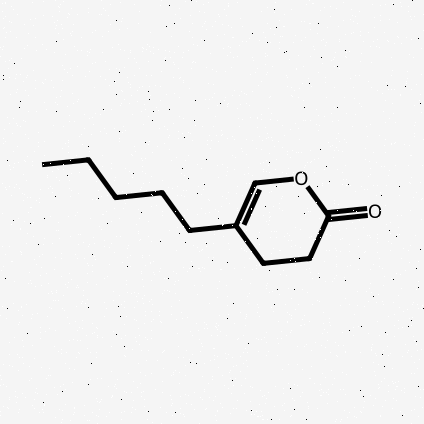 CCCCCC1=COC(=O)CC1